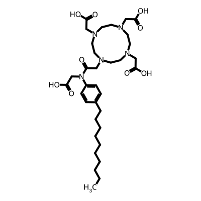 CCCCCCCCCCc1ccc(N(CC(=O)O)C(=O)CN2CCN(CC(=O)O)CCN(CC(=O)O)CCN(CC(=O)O)CC2)cc1